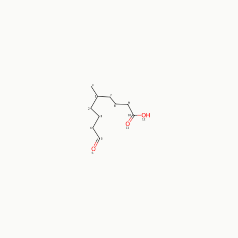 CC(CCCC=O)CCCC(=O)O